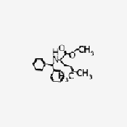 CCOC(=O)C(CC=C(C)C)NC(c1ccccc1)c1ccccc1